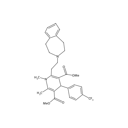 COC(=O)C1=C(C)N(C)C(CCN2CCc3ccccc3CC2)=C(C(=O)OC)C1c1ccc(C(F)(F)F)cc1